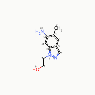 Cc1cc2cnn(CCO)c2cc1N